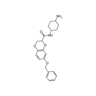 NC1CCC(NC(=O)C2COc3ccc(OCc4ccccc4)cc3O2)CC1